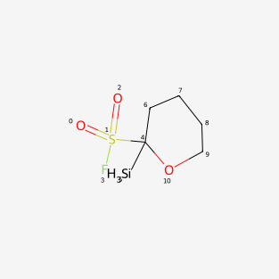 O=S(=O)(F)C1([SiH3])CCCCO1